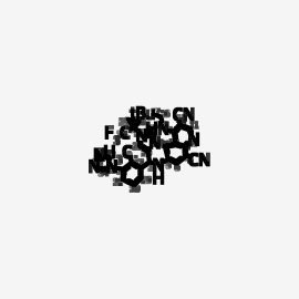 Cc1c(C(Nc2cc(C#N)c3ncc(C#N)c(NCC(C)(C)C)c3c2)c2cn(C3(C(F)(F)F)CC3)nn2)cccc1-n1cnnc1